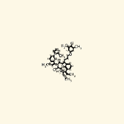 Cc1cc(OCCCc2c3n(c4c(-c5c(C)nn(C)c5C)cccc24)C(C)[C@@H](Cl)N(c2cn(C)c4ccc(-n5nnnc5C)nc24)C3=O)cc(C)c1Cl